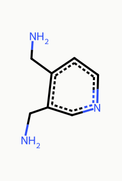 NCc1ccncc1CN